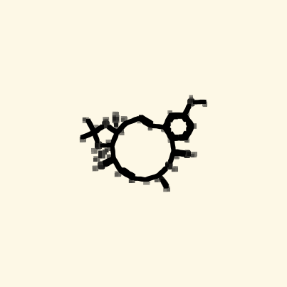 COc1ccc2c(c1)/C=C/C[C@@H]1OC(C)(C)O[C@@H]1C(=O)/C=C\C[C@H](C)OC2=O